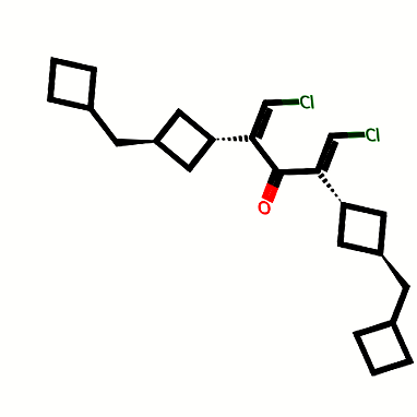 O=C(C(=CCl)[C@H]1C[C@H](CC2CCC2)C1)C(=CCl)[C@H]1C[C@H](CC2CCC2)C1